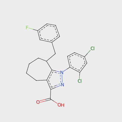 O=C(O)c1nn(-c2ccc(Cl)cc2Cl)c2c1CCCCC2Cc1cccc(F)c1